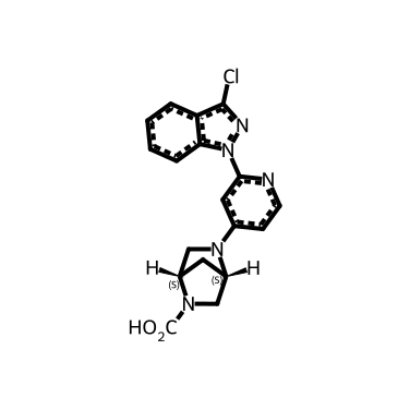 O=C(O)N1C[C@@H]2C[C@H]1CN2c1ccnc(-n2nc(Cl)c3ccccc32)c1